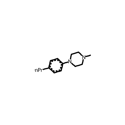 CC[CH]c1ccc(N2CCN(C)CC2)cc1